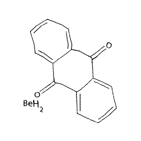 O=C1c2ccccc2C(=O)c2ccccc21.[BeH2]